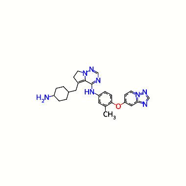 Cc1cc(NC2=NC=NN3CCC(CC4CCC(N)CC4)=C23)ccc1Oc1ccn2ncnc2c1